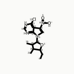 CCC1OC(n2cc([N+](=O)[O-])c3c(Cl)ncnc32)C(C)C1C